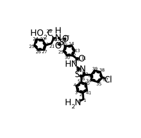 NCc1ccc(-c2sc(NC(=O)c3ccc(S(=O)(=O)N[C@@H](Cc4ccccc4)C(=O)O)cc3)nc2-c2ccc(Cl)cc2)cc1